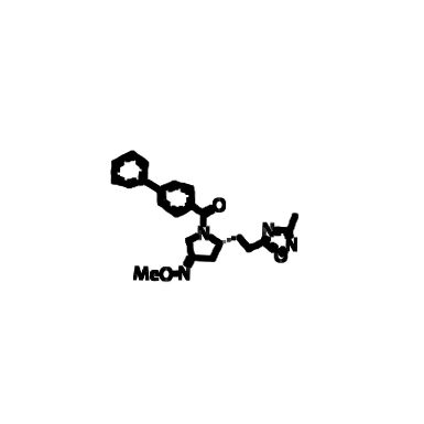 CON=C1C[C@@H](CCc2nc(C)no2)N(C(=O)c2ccc(-c3ccccc3)cc2)C1